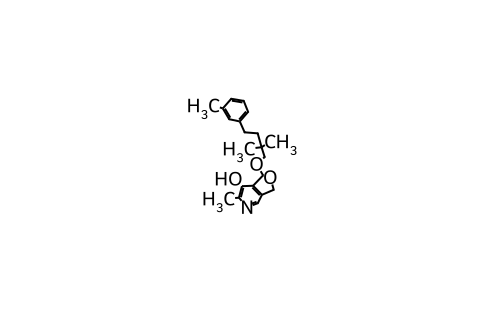 Cc1cccc(CCC(C)(C)COC2OCc3cnc(C)c(O)c32)c1